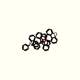 c1ccc(-c2c3ccccc3c(-c3cccc4oc5cccc(-c6c7ccccc7c(-c7cccc8c7c7ccccc7n8-c7ccccc7)c7ccccc67)c5c34)c3ccccc23)cc1